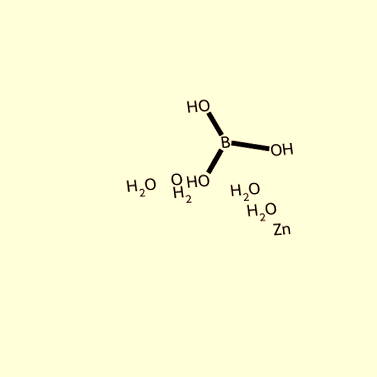 O.O.O.O.OB(O)O.[Zn]